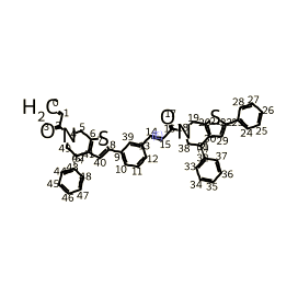 C=CC(=O)N1Cc2sc(-c3cccc(/C=C/C(=O)N4Cc5sc(-c6ccccc6)cc5[C@@H](c5ccccc5)C4)c3)cc2[C@H](c2ccccc2)C1